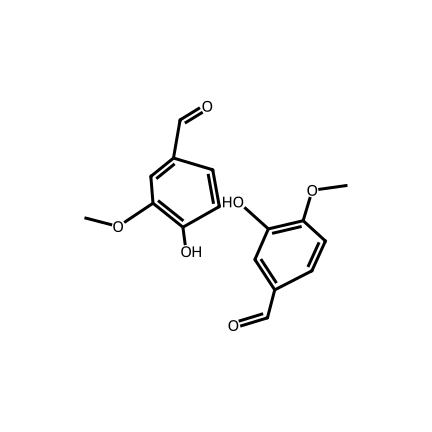 COc1cc(C=O)ccc1O.COc1ccc(C=O)cc1O